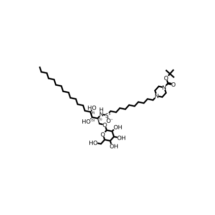 CCCCCCCCCCCCCC[C@@H](O)[C@@H](O)[C@H](COC1OC(CO)C(O)C(O)C1O)N[S+]([O-])CCCCCCCCCCN1CCN(C(=O)OC(C)(C)C)CC1